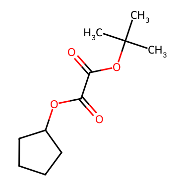 CC(C)(C)OC(=O)C(=O)OC1CCCC1